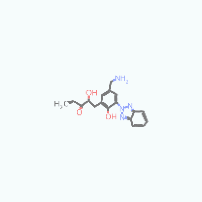 C=CC(=O)C(O)Cc1cc(CN)cc(-n2nc3ccccc3n2)c1O